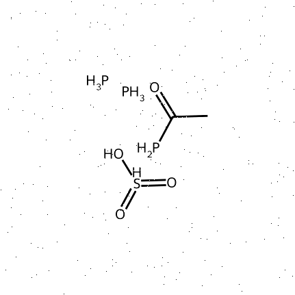 CC(=O)P.O=[SH](=O)O.P.P